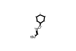 CC(C)(C)/[C]=N/OC1CCCCC1